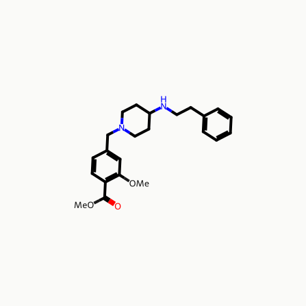 COC(=O)c1ccc(CN2CCC(NCCc3ccccc3)CC2)cc1OC